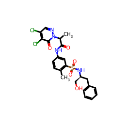 Cc1ccc(NC(=O)C(C)n2ncc(Cl)c(Cl)c2=O)cc1S(=O)(=O)N[C@H](CO)Cc1ccccc1